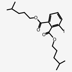 CC(C)CCCOC(=O)c1cccc(I)c1C(=O)OCCCC(C)C